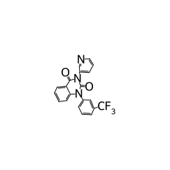 O=c1c2ccccc2n(-c2cccc(C(F)(F)F)c2)c(=O)n1-c1cccnc1